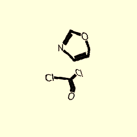 O=C(Cl)Cl.c1cocn1